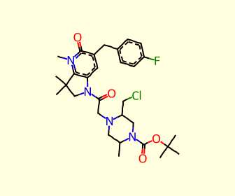 CC1CN(CC(=O)N2CC(C)(C)c3c2cc(Cc2ccc(F)cc2)c(=O)n3C)C(CCl)CN1C(=O)OC(C)(C)C